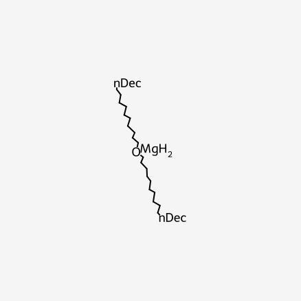 CCCCCCCCCCCCCCCCCCCCOCCCCCCCCCCCCCCCCCCCC.[MgH2]